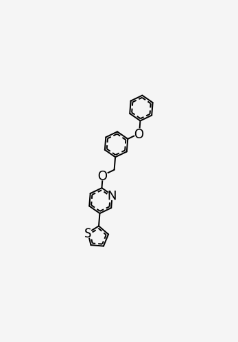 c1ccc(Oc2cccc(COc3ccc(-c4cccs4)cn3)c2)cc1